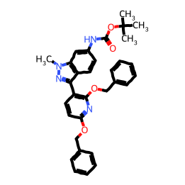 Cn1nc(-c2ccc(OCc3ccccc3)nc2OCc2ccccc2)c2ccc(NC(=O)OC(C)(C)C)cc21